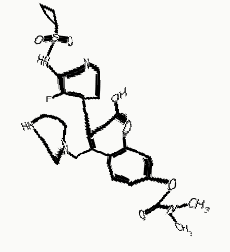 CN(C)C(=O)Oc1ccc2c(c1)OC(O)C(Cc1ccnc(NS(=O)(=O)C3CC3)c1F)=C2CN1CCNCC1